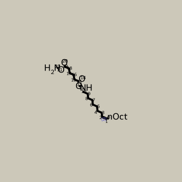 CCCCCCCC/C=C\CCCCCCCCNOC(=O)CCCCC(=O)ON